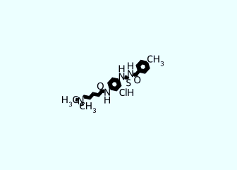 Cc1ccc(C(=O)NC(=S)Nc2ccc(NC(=O)CCCCN(C)C)cc2)cc1.Cl